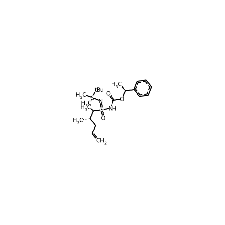 C=CC[C@H](C)[C@@H](C)S(=O)(=NS(C)(C)C(C)(C)C)NC(=O)O[C@@H](C)c1ccccc1